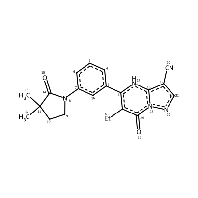 CCc1c(-c2cccc(N3CCC(C)(C)C3=O)c2)[nH]c2c(C#N)cnn2c1=O